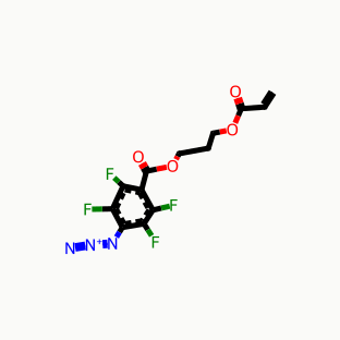 C=CC(=O)OCCCOC(=O)c1c(F)c(F)c(N=[N+]=[N-])c(F)c1F